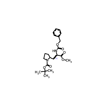 COC(=O)/C(=C/C1CCCN1C(=O)OC(C)(C)C)NC(=O)OCc1ccccc1